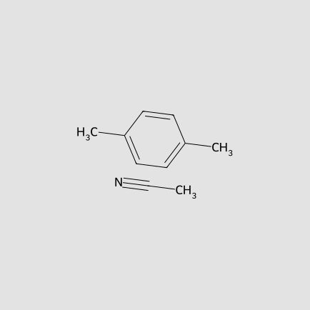 CC#N.Cc1ccc(C)cc1